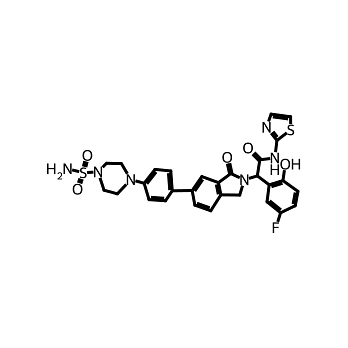 NS(=O)(=O)N1CCN(c2ccc(-c3ccc4c(c3)C(=O)N(C(C(=O)Nc3nccs3)c3cc(F)ccc3O)C4)cc2)CC1